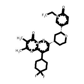 Cc1nc2c(C3CCC(F)(F)CC3)cc([C@H]3CCO[C@@H](c4ccc(=O)n(CC(F)(F)F)c4)C3)nn2c(=O)c1C